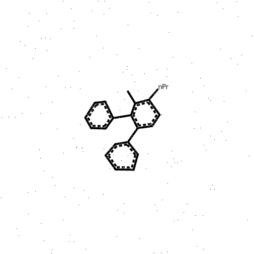 CCCc1[c]cc(-c2ccccc2)c(-c2ccccc2)c1C